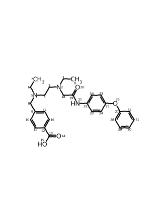 CCN(CCN(CC)Cc1ccc(C(=O)O)cc1)CC(=O)Nc1ccc(Oc2ccccc2)cc1